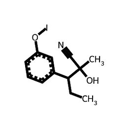 CCC(c1cccc(OI)c1)C(C)(O)C#N